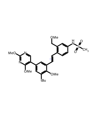 COCc1cc(NS(C)(=O)=O)ccc1/C=C/c1cc(-c2cnc(OC)nc2OC)cc(C(C)(C)C)c1OC